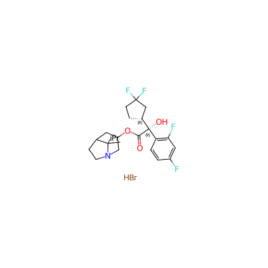 Br.CC(C)C1(C)C2CCN1CC(OC(=O)[C@](O)(c1ccc(F)cc1F)[C@@H]1CCC(F)(F)C1)C2